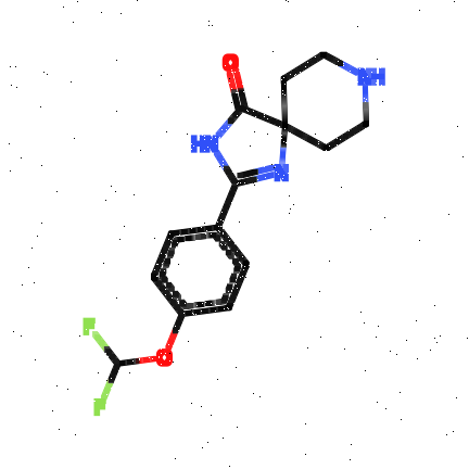 O=C1NC(c2ccc(OC(F)F)cc2)=NC12CCNCC2